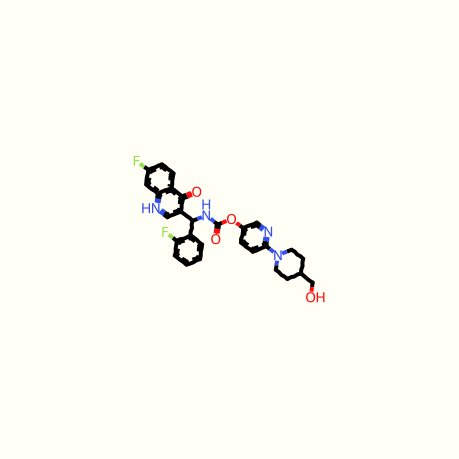 O=C(NC(c1ccccc1F)c1c[nH]c2cc(F)ccc2c1=O)Oc1ccc(N2CCC(CO)CC2)nc1